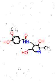 COc1cc(C(=O)NCc2c(CO)cnc(C)c2O)ccc1O